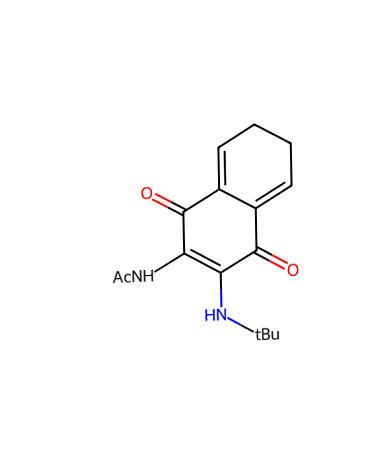 CC(=O)NC1=C(NC(C)(C)C)C(=O)C2=CCCC=C2C1=O